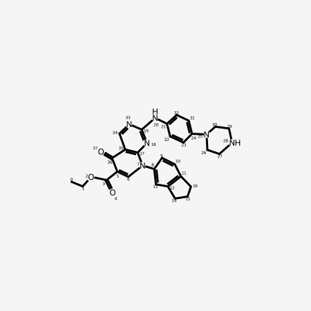 CCOC(=O)c1cn(-c2ccc3c(c2)CCC3)c2nc(Nc3ccc(N4CCNCC4)cc3)ncc2c1=O